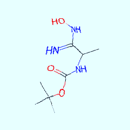 CC(NC(=O)OC(C)(C)C)C(=N)NO